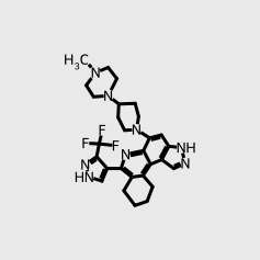 CN1CCN(C2CCN(c3cc4[nH]ncc4c4c5c(c(-c6c[nH]nc6C(F)(F)F)nc34)CCCC5)CC2)CC1